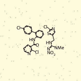 CN/C(=N\[N+](=O)[O-])NCc1cnc(Cl)s1.O=C(Nc1ccccc1-c1ccc(Cl)cc1)c1cccnc1Cl